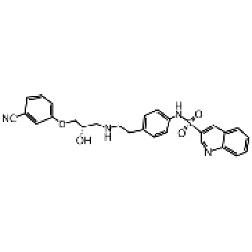 N#Cc1cccc(OC[C@@H](O)CNCCc2ccc(NS(=O)(=O)c3cnc4ccccc4c3)cc2)c1